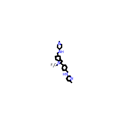 Cc1ccc(NCc2ccc(-c3cc4cc(CNC5CCN(C)CC5)ccc4n3CC(F)(F)F)cc2)cn1